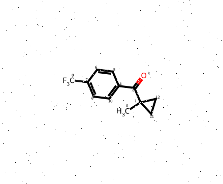 CC1(C(=O)c2ccc(C(F)(F)F)cc2)CC1